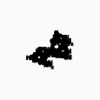 CCCCCCN1C(=O)CC(SSCC(N)C(=O)NCCCCCC(=O)NC(CCC(=O)NCCCCC2NC(=O)[C@@H](CCCNC(=N)N)NC(=O)CNC(=O)[C@@H](CC(=O)O)NC(=O)[C@H](Cc3ccc(O)cc3)NC2=O)C(=O)NCCCCC2CC(=O)[C@@H](CCCNC(=N)N)NC(=O)CNC(=O)[C@@H](CC(=O)O)NC(=O)[C@H](Cc3ccc(O)cc3)NC2=O)C1=O